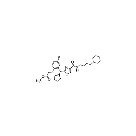 COC(=O)CCc1ccc(F)cc1C(c1nc(C(=O)NCCCCC2CCCCC2)co1)N1CCCC1